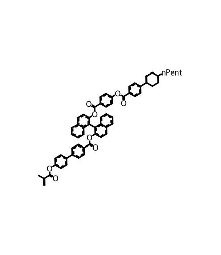 C=C(C)C(=O)Oc1ccc(-c2ccc(C(=O)Oc3ccc4ccccc4c3-c3c(OC(=O)c4ccc(OC(=O)c5ccc(C6CCC(CCCCC)CC6)cc5)cc4)ccc4ccccc34)cc2)cc1